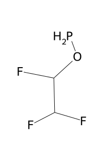 FC(F)C(F)OP